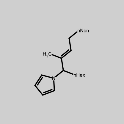 CCCCCCCCCC/C=C(\C)C(CCCCCC)n1cccc1